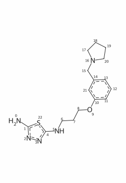 Nc1nnc(NCCCOc2cccc(CN3CCCC3)c2)s1